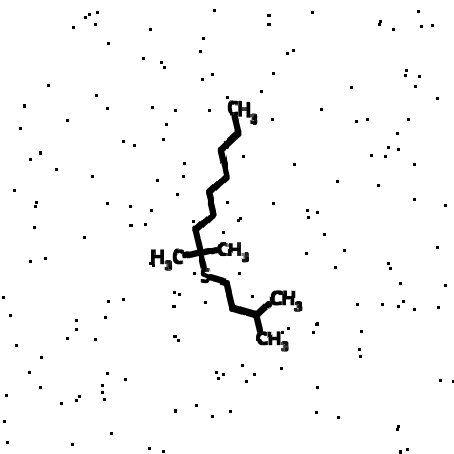 CCCCCCCC(C)(C)SCCC(C)C